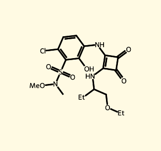 CCOCC(CC)Nc1c(Nc2ccc(Cl)c(S(=O)(=O)N(C)OC)c2O)c(=O)c1=O